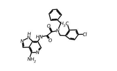 Cc1cc(Cl)ccc1CN(Cc1ccccc1)C(=O)C(=O)Nc1cnc(N)c2cn[nH]c12